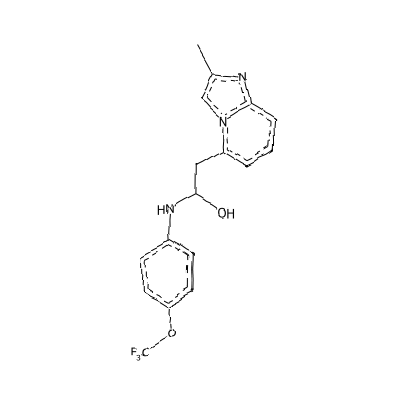 Cc1cn2c(CC(O)Nc3ccc(OC(F)(F)F)cc3)cccc2n1